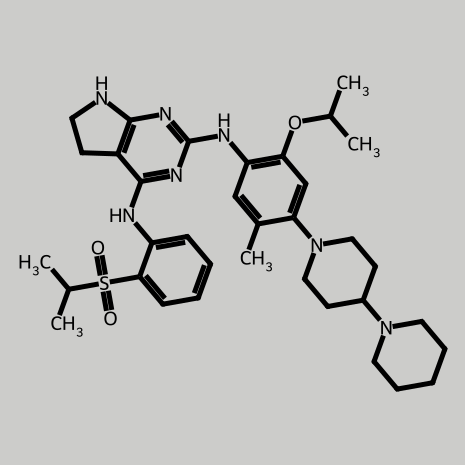 Cc1cc(Nc2nc3c(c(Nc4ccccc4S(=O)(=O)C(C)C)n2)CCN3)c(OC(C)C)cc1N1CCC(N2CCCCC2)CC1